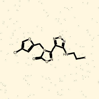 O=c1onc(-c2nonc2NCCI)n1Cc1cc(Cl)co1